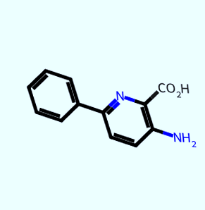 Nc1ccc(-c2ccccc2)nc1C(=O)O